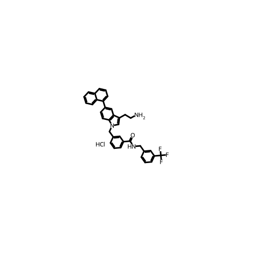 Cl.NCCc1cn(Cc2cccc(C(=O)NCc3cccc(C(F)(F)F)c3)c2)c2ccc(-c3cccc4ccccc34)cc12